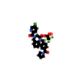 O=C(O)C(F)(F)F.O=C(c1ccc(CN2C(=O)CN(C(=O)c3ccc(Cl)cn3)Cc3ccccc32)cc1)N1CC=CC1